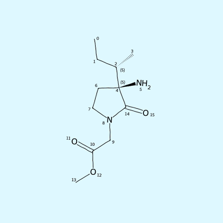 CC[C@H](C)[C@@]1(N)CCN(CC(=O)OC)C1=O